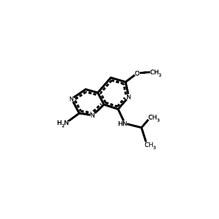 COc1cc2cnc(N)nc2c(NC(C)C)n1